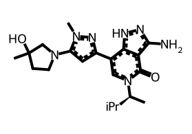 CC(C)[C@H](C)n1cc(-c2cc(N3CCC(C)(O)C3)n(C)n2)c2[nH]nc(N)c2c1=O